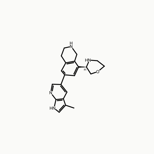 Cc1c[nH]c2ncc(-c3cc4c(c([C@@H]5COCCN5)c3)CNCC4)cc12